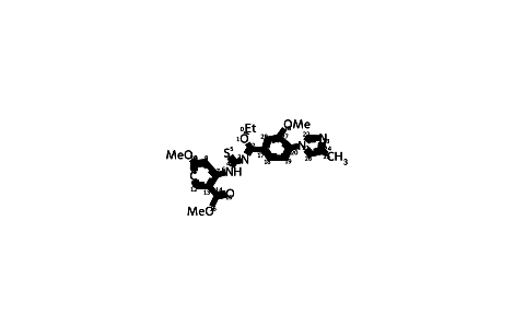 CCO/C(=N\C(=S)Nc1cc(OC)ccc1C(=O)OC)c1ccc(-n2cnc(C)c2)c(OC)c1